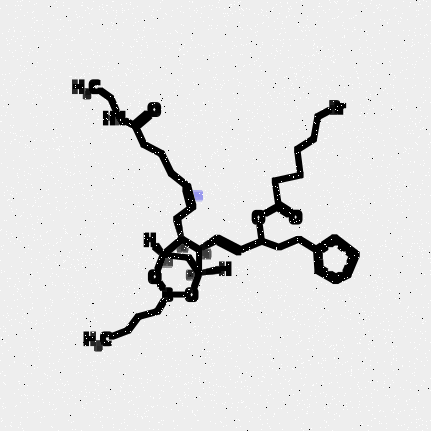 CCCCB1O[C@H]2C[C@@H](O1)[C@H](C=CC(CCc1ccccc1)OC(=O)CCCCCBr)[C@@H]2C/C=C\CCCC(=O)NCC